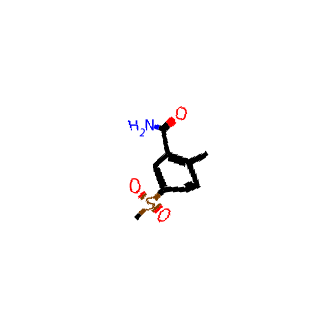 Cc1ccc(S(C)(=O)=O)cc1C(N)=O